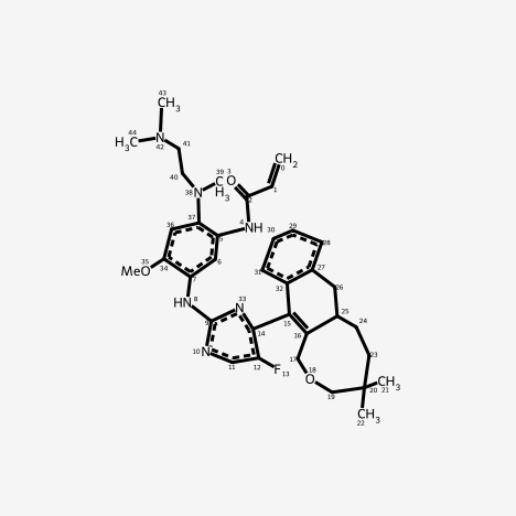 C=CC(=O)Nc1cc(Nc2ncc(F)c(C3=C4COCC(C)(C)CCC4Cc4ccccc43)n2)c(OC)cc1N(C)CCN(C)C